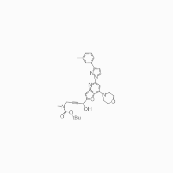 Cc1cccc(-c2ccn(-c3cc(N4CCOCC4)c4oc(C(O)C#CCN(C)C(=O)OC(C)(C)C)cc4n3)n2)c1